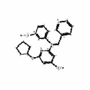 COc1cc(OC2CCCC2)nc(N(Cc2cccnc2)c2cccc(C(=O)O)c2)c1